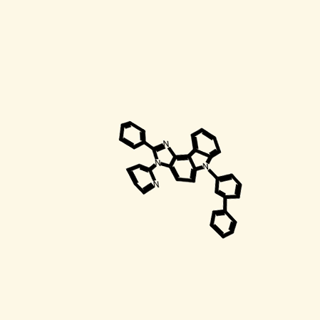 c1ccc(-c2cccc(-n3c4ccccc4c4c5nc(-c6ccccc6)n(-c6ccccn6)c5ccc43)c2)cc1